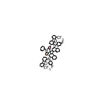 Fc1ccc(N(c2cc3c(c4ccccc24)-c2c(cc(N(c4ccc(F)cc4)c4cccc5c4oc4c(C(F)(F)F)cccc45)c4ccccc24)C32c3ccccc3N(c3ccccc3)c3ccccc32)c2cccc3c2oc2c(C(F)(F)F)cccc23)cc1